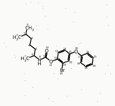 CC(C)CCCC(C)NC(=O)Oc1ccc(Oc2ccccc2)cc1Br